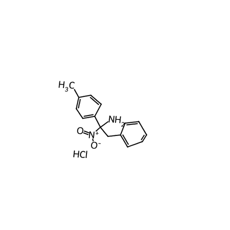 Cc1ccc(C(N)(Cc2ccccc2)[N+](=O)[O-])cc1.Cl